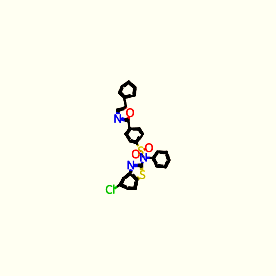 O=S(=O)(c1ccc(-c2ncc(-c3ccccc3)o2)cc1)N(c1ccccc1)c1nc2cc(Cl)ccc2s1